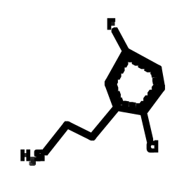 Fc1ccc(Cl)c(CC[SiH3])c1